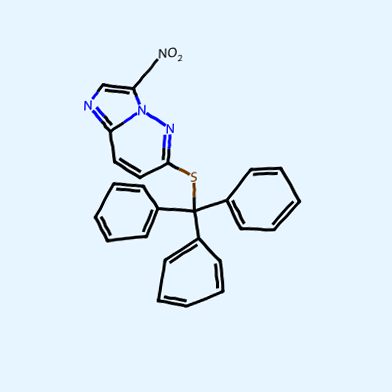 O=[N+]([O-])c1cnc2ccc(SC(c3ccccc3)(c3ccccc3)c3ccccc3)nn12